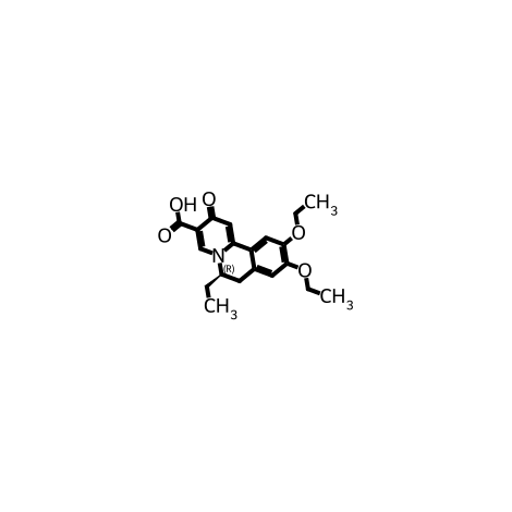 CCOc1cc2c(cc1OCC)-c1cc(=O)c(C(=O)O)cn1[C@H](CC)C2